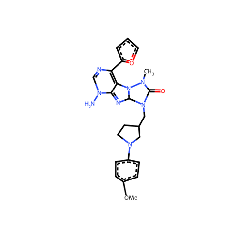 COc1ccc(N2CCC(CN3C(=O)N(C)N4C5=C(c6ccco6)N=CN(N)C5=NC34)C2)cc1